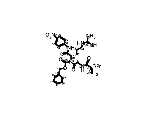 CC(C)[C@H](N)C(=O)NCC(=O)N(C(=O)OCc1ccccc1)[C@@H](CCCNC(=N)N)C(=O)Nc1ccc([N+](=O)[O-])cc1